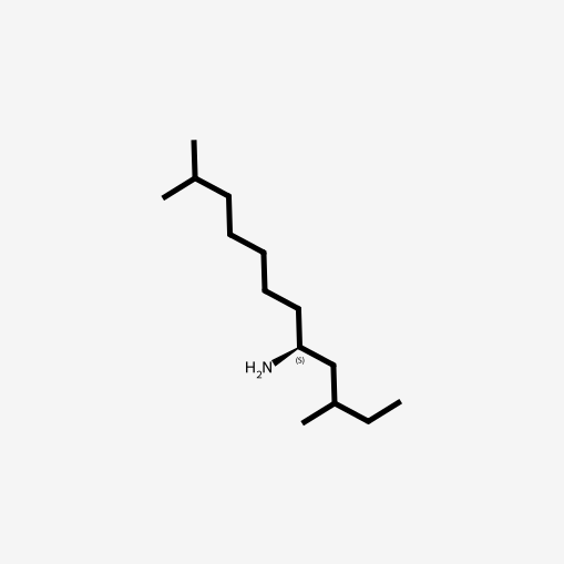 CCC(C)C[C@@H](N)CCCCCC(C)C